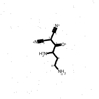 N#CC(C#N)C(=O)C(N)CCN